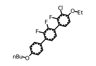 CCCCOc1ccc(-c2ccc(-c3ccc(OCC)c(Cl)c3F)c(F)c2F)cc1